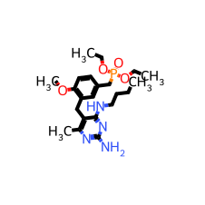 CCCCNc1nc(N)nc(C)c1Cc1cc(CP(=O)(OCC)OCC)ccc1OC